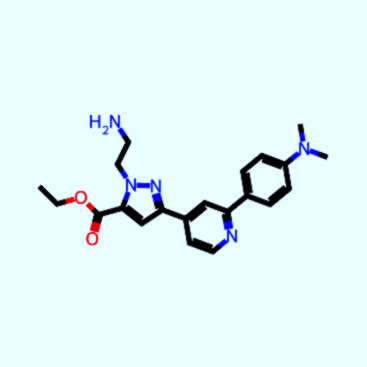 CCOC(=O)c1cc(-c2ccnc(-c3ccc(N(C)C)cc3)c2)nn1CCN